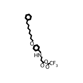 O=C(CCNCc1ccc(OCCCCCCCCc2ccccc2)cc1)OC(=O)C(F)(F)F